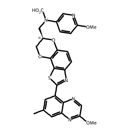 COc1ccc(N(C[C@@H]2COc3c(ccc4nc(-c5cc(C)cc6nc(OC)cnc56)sc34)O2)C(=O)O)cn1